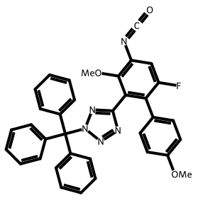 COc1ccc(-c2c(F)cc(N=C=O)c(OC)c2-c2nnn(C(c3ccccc3)(c3ccccc3)c3ccccc3)n2)cc1